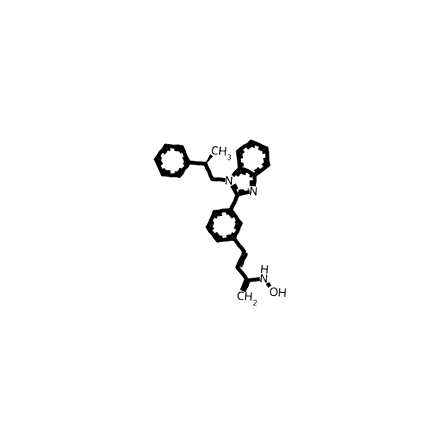 C=C(/C=C/c1cccc(-c2nc3ccccc3n2C[C@H](C)c2ccccc2)c1)NO